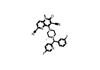 C[C@@H]1CN(c2c(C#N)c(=O)n(C)c3ccc(C#N)nc23)CCN1C(c1cccc(F)c1)c1ccc(F)cn1